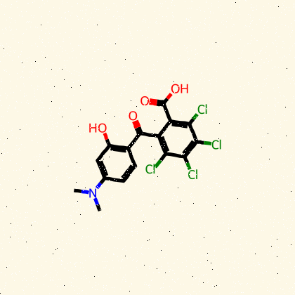 CN(C)c1ccc(C(=O)c2c(Cl)c(Cl)c(Cl)c(Cl)c2C(=O)O)c(O)c1